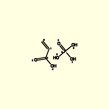 C=CC(=O)O.O=P(O)(O)O